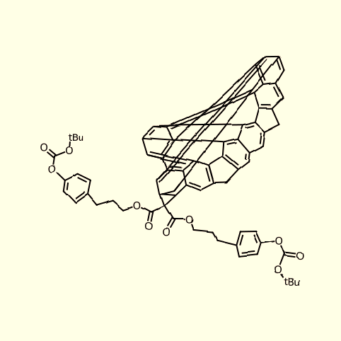 CC(C)(C)OC(=O)Oc1ccc(CCCOC(=O)C2(C(=O)OCCCc3ccc(OC(=O)OC(C)(C)C)cc3)C3c4cc5c6c7c(cc8cc9c%10c%11c(cc%12cc%13c%14c(c%15c4c6c4c%15c6c%14c%12c%11c6c6c%10c8c7c46)C32C%13)C9)C5)cc1